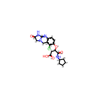 O=C(O)CC(Oc1ccc2c(c1Cl)CN1CC(=O)NC1=N2)C(=O)NC1CCCC1